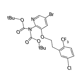 CC(C)(C)OC(=O)N(C(=O)OC(C)(C)C)c1ncc(Br)cc1OCCc1cc(Cl)ccc1C(F)(F)F